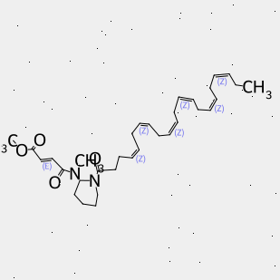 CC/C=C\C/C=C\C/C=C\C/C=C\C/C=C\C/C=C\CCC(=O)N1CCCCC1N(C)C(=O)/C=C/C(=O)OC